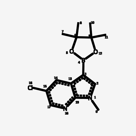 Cn1cc(B2OC(C)(C)C(C)(C)O2)c2cc(Cl)cnc21